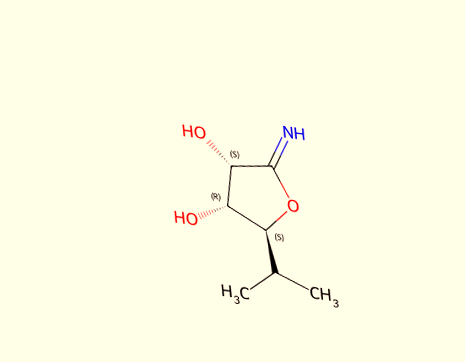 CC(C)[C@@H]1OC(=N)[C@@H](O)[C@H]1O